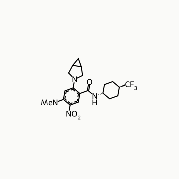 CNc1cc(N2CC3CC3C2)c(C(=O)N[C@H]2CC[C@H](C(F)(F)F)CC2)cc1[N+](=O)[O-]